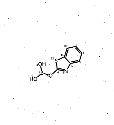 OB(O)Oc1nc2ccccc2s1